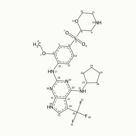 COc1cc(S(=O)(=O)C2CNCCO2)ccc1Nc1nc(NC2CCCC2)c2c(C(F)(F)F)c[nH]c2n1